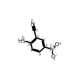 N#Cc1cc([N+](=O)[O-])ccc1S